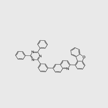 c1ccc(-c2nc(-c3ccccc3)nc(-c3cccc(-c4ccc5nc(-c6cccc7oc8ccccc8c67)ccc5c4)c3)n2)cc1